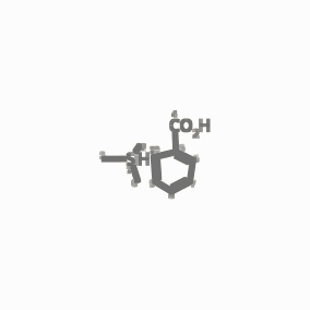 C[SiH](C)C.O=C(O)c1ccccc1